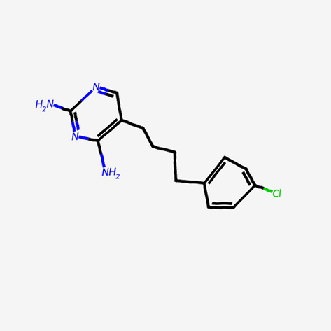 Nc1ncc(CCCCc2ccc(Cl)cc2)c(N)n1